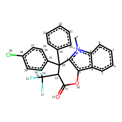 Cn1c2c(c3ccccc31)OC(=O)C(C(F)(F)F)C2(c1ccccc1)c1ccc(Cl)cc1